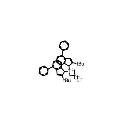 CC(C)(C)C1=Cc2c(-c3ccccc3)cccc2[CH]1[Ti+2]1([CH]2C(C(C)(C)C)=Cc3c(-c4ccccc4)cccc32)[CH2]C[CH2]1.[Cl-].[Cl-]